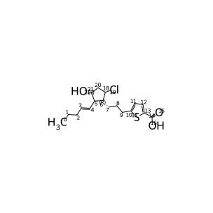 CCCC=CC1[C@@H](CCCc2ccc(C(=O)O)s2)C(Cl)C[C@H]1O